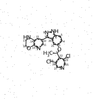 C[C@@H](Oc1ccc2[nH]nc(-c3cnc4c(c3)NCCO4)c2c1)c1c(Cl)cncc1Cl